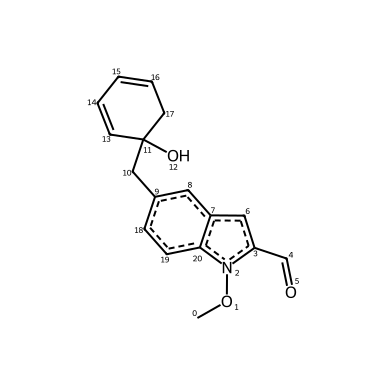 COn1c(C=O)cc2cc(CC3(O)C=CC=CC3)ccc21